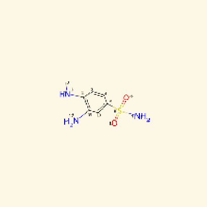 CNc1ccc(S(N)(=O)=O)cc1N